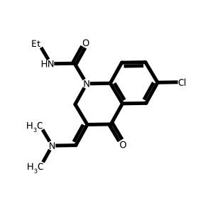 CCNC(=O)N1CC(=CN(C)C)C(=O)c2cc(Cl)ccc21